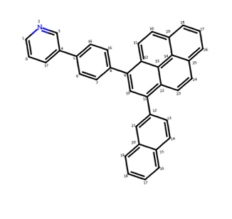 c1cncc(-c2ccc(-c3cc(-c4ccc5ccccc5c4)c4ccc5cccc6ccc3c4c65)cc2)c1